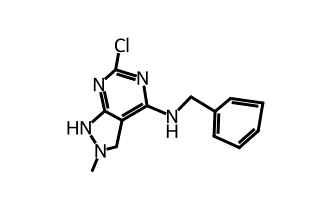 CN1Cc2c(NCc3ccccc3)nc(Cl)nc2N1